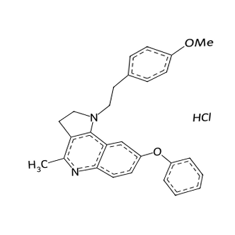 COc1ccc(CCN2CCc3c(C)nc4ccc(Oc5ccccc5)cc4c32)cc1.Cl